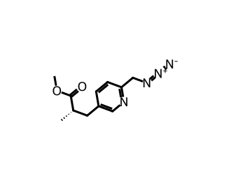 COC(=O)[C@@H](C)Cc1ccc(CN=[N+]=[N-])nc1